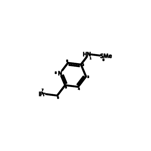 CSNc1ccc(CC(C)C)nc1